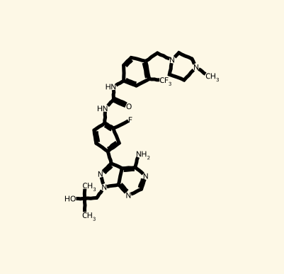 CN1CCN(Cc2ccc(NC(=O)Nc3ccc(-c4nn(CC(C)(C)O)c5ncnc(N)c45)cc3F)cc2C(F)(F)F)CC1